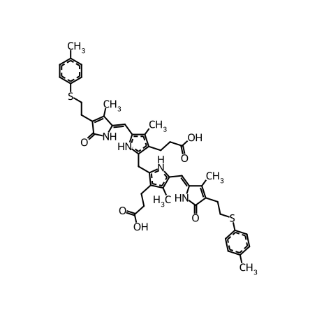 CC1=C(CCSc2ccc(C)cc2)C(=O)N/C1=C\c1[nH]c(Cc2[nH]c(/C=C3\NC(=O)C(CCSc4ccc(C)cc4)=C3C)c(C)c2CCC(=O)O)c(CCC(=O)O)c1C